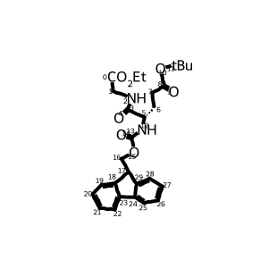 CCOC(=O)CNC(=O)[C@H](CCC(=O)OC(C)(C)C)NC(=O)OCC1c2ccccc2-c2ccccc21